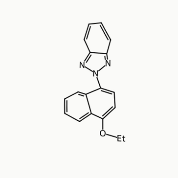 CCOc1ccc(-n2nc3ccccc3n2)c2ccccc12